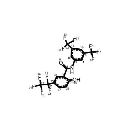 O=C(Nc1cc(C(F)(F)F)cc(C(F)(F)F)c1)c1cc(C(F)(F)C(F)(F)F)ccc1O